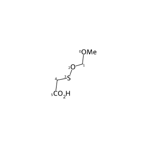 COCOSCC(=O)O